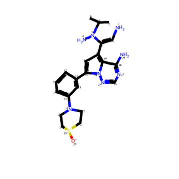 CC(C)N(N)/C(=C\N)c1cc(-c2cccc(N3CC[S+]([O-])CC3)c2)n2ncnc(N)c12